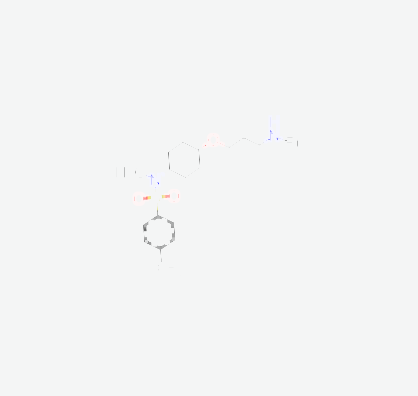 CCNCCCO[C@H]1CC[C@H](N(C)S(=O)(=O)c2ccc(C(F)(F)F)cc2)CC1